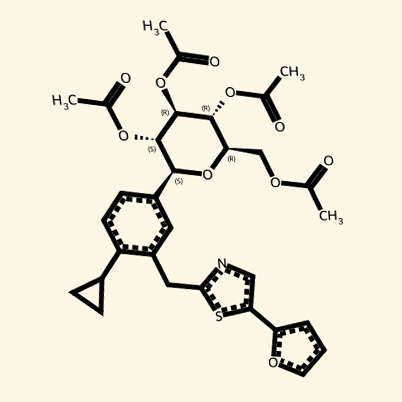 CC(=O)OC[C@H]1O[C@@H](c2ccc(C3CC3)c(Cc3ncc(-c4ccco4)s3)c2)[C@H](OC(C)=O)[C@@H](OC(C)=O)[C@@H]1OC(C)=O